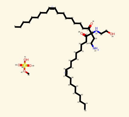 CCCCCCCC/C=C\CCCCCCCC(=O)C(CCN)(NCCO)C(=O)CCCCCCC/C=C\CCCCCCCC.COS(=O)(=O)O